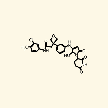 Cc1ccc(NC(=O)CC2(c3cccc(NC4=CC(=O)N(C5CCC(=O)NC5=O)C4O)c3)COC2)cc1Cl